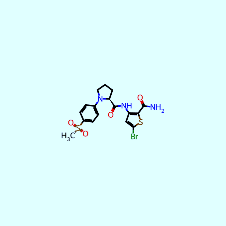 CS(=O)(=O)c1ccc(N2CCC[C@H]2C(=O)Nc2cc(Br)sc2C(N)=O)cc1